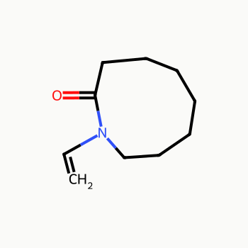 C=CN1CCCCCCCC1=O